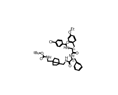 CCOc1ccc(C[C@@H](NC(=O)c2ccc(Cl)cc2)C(=O)N[C@@H](Cc2ccccc2)C(=O)NCC23CCC(CNC(=O)OC(C)(C)C)(CC2)CC3)cc1